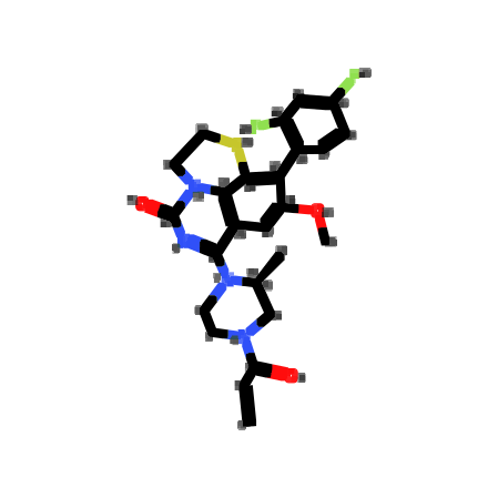 C=CC(=O)N1CCN(c2nc(=O)n3c4c(c(-c5ccc(F)cc5F)c(OC)cc24)SCC3)[C@@H](C)C1